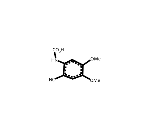 COc1cc(C#N)c(NC(=O)O)cc1OC